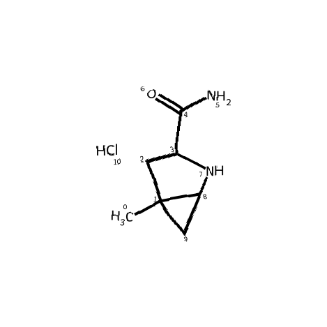 CC12CC(C(N)=O)NC1C2.Cl